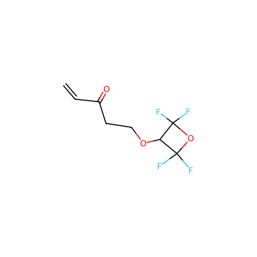 C=CC(=O)CCOC1C(F)(F)OC1(F)F